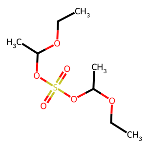 CCOC(C)OS(=O)(=O)OC(C)OCC